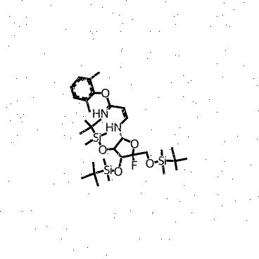 Cc1cccc(C)c1OC(=N)/C=C\N[C@@H]1O[C@](F)(CO[Si](C)(C)C(C)(C)C)C(O[Si](C)(C)C(C)(C)C)C1O[Si](C)(C)C(C)(C)C